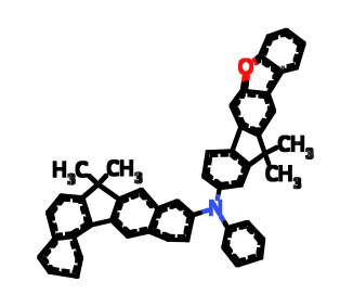 CC1(C)c2cc(N(c3ccccc3)c3ccc4cc5c(cc4c3)C(C)(C)c3ccc4ccccc4c3-5)ccc2-c2cc3oc4ccccc4c3cc21